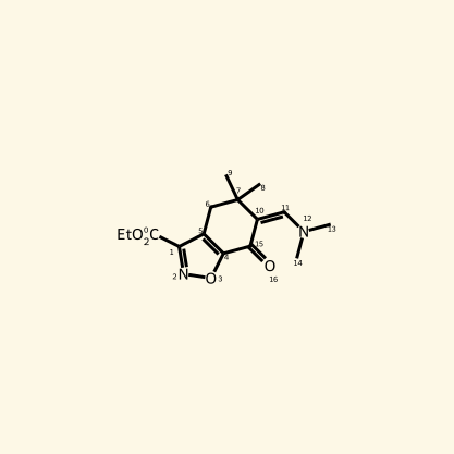 CCOC(=O)c1noc2c1CC(C)(C)C(=CN(C)C)C2=O